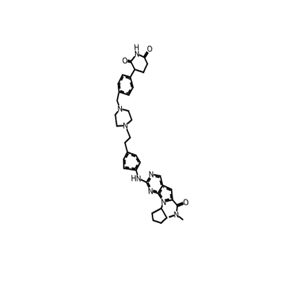 CN(C)C(=O)c1cc2cnc(Nc3ccc(CCN4CCN(Cc5ccc(C6CCC(=O)NC6=O)cc5)CC4)cc3)nc2n1C1CCCC1